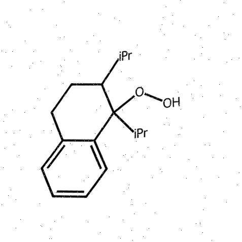 CC(C)C1CCc2ccccc2C1(OO)C(C)C